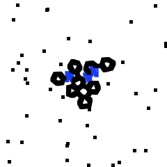 c1ccc(-c2cccc(-n3c4cccc5c4c4c6c(cccc6c6c(c7ccccc7n6-c6ccccc6)c43)-c3ccccc3-5)n2)cc1